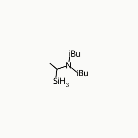 CCC(C)N(C(C)[SiH3])C(C)CC